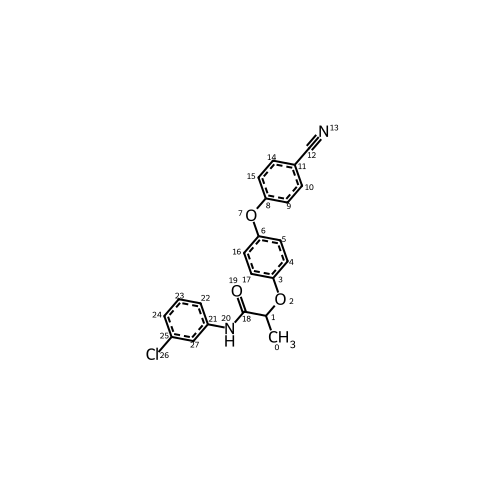 CC(Oc1ccc(Oc2ccc(C#N)cc2)cc1)C(=O)Nc1cccc(Cl)c1